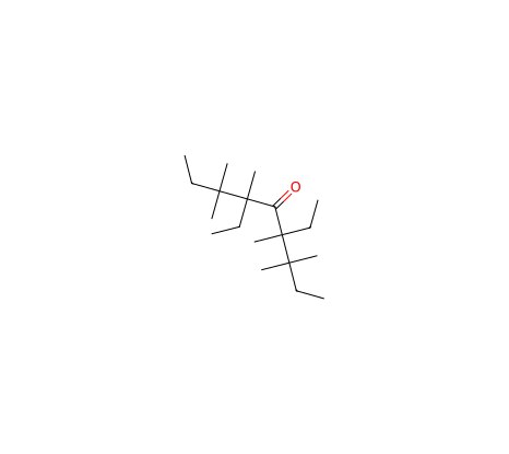 CCC(C)(C)C(C)(CC)C(=O)C(C)(CC)C(C)(C)CC